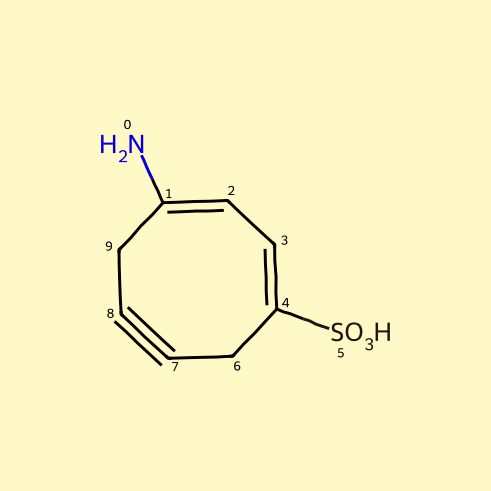 N/C1=C/C=C(/S(=O)(=O)O)CC#CC1